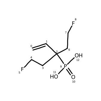 C=CC(CCF)(CCF)P(=O)(O)O